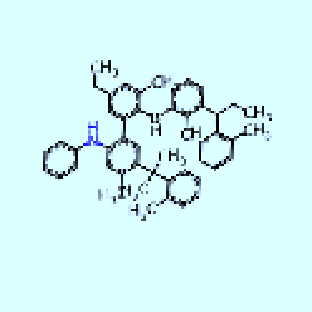 CCc1cc(C)c(Bc2cccc(C(CC)C3=C(C)C=CCC3)c2C)c(-c2cc(C(C)(C)c3ccccc3C)c(C)cc2Nc2ccccc2)c1